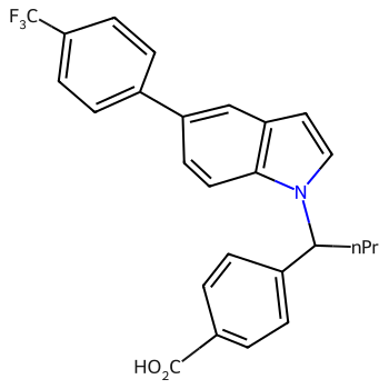 CCCC(c1ccc(C(=O)O)cc1)n1ccc2cc(-c3ccc(C(F)(F)F)cc3)ccc21